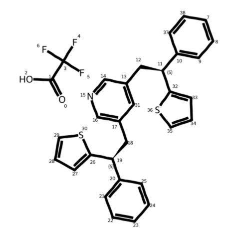 O=C(O)C(F)(F)F.c1ccc([C@H](Cc2cncc(C[C@@H](c3ccccc3)c3cccs3)c2)c2cccs2)cc1